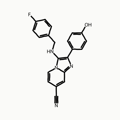 N#Cc1ccn2c(NCc3ccc(F)cc3)c(-c3ccc(O)cc3)nc2c1